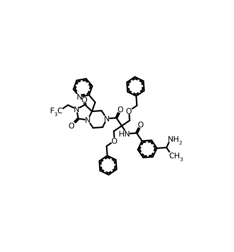 CC(N)c1cccc(C(=O)NC(COCc2ccccc2)(COCc2ccccc2)C(=O)N2CCN3C(=O)N(CC(F)(F)F)C(=O)C3(Cc3ccccn3)C2)c1